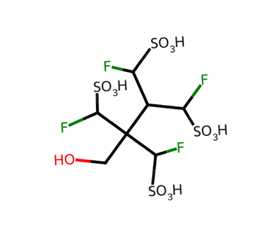 O=S(=O)(O)C(F)C(C(F)S(=O)(=O)O)C(CO)(C(F)S(=O)(=O)O)C(F)S(=O)(=O)O